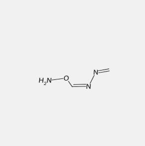 C=N/N=C\ON